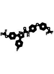 O=C(Nc1ccc(Oc2ccc(OC(F)F)cc2)cc1)N1CC(c2ccc(F)cc2)C(c2ccc(OC(F)F)cc2)=N1